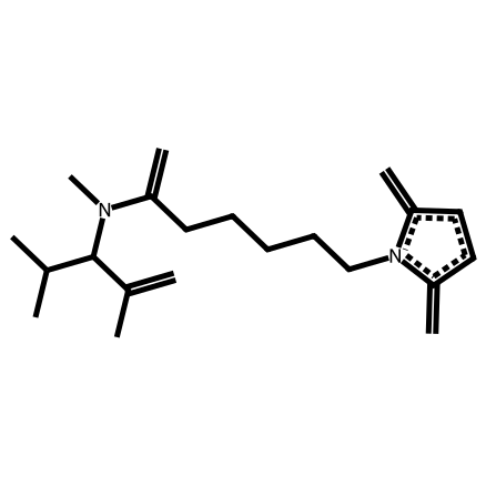 C=C(C)C(C(C)C)N(C)C(=C)CCCCCn1c(=C)ccc1=C